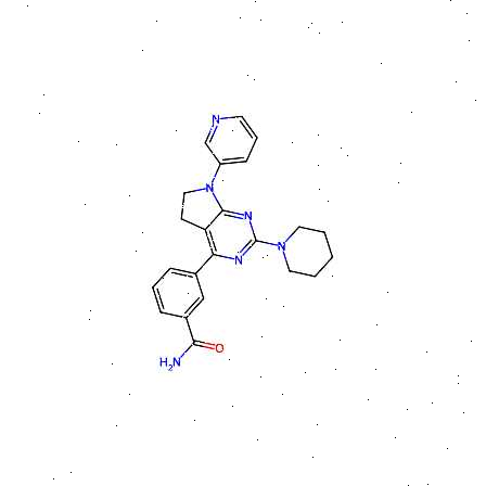 NC(=O)c1cccc(-c2nc(N3CCCCC3)nc3c2CCN3c2cccnc2)c1